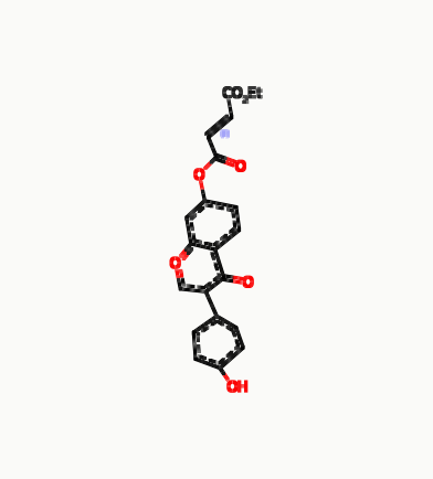 CCOC(=O)/C=C/C(=O)Oc1ccc2c(=O)c(-c3ccc(O)cc3)coc2c1